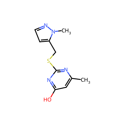 Cc1cc(O)nc(SCc2ccnn2C)n1